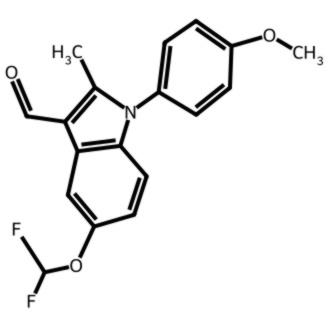 COc1ccc(-n2c(C)c(C=O)c3cc(OC(F)F)ccc32)cc1